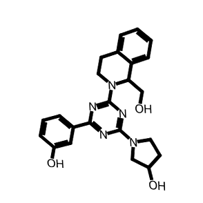 OCC1c2ccccc2CCN1c1nc(-c2cccc(O)c2)nc(N2CCC(O)C2)n1